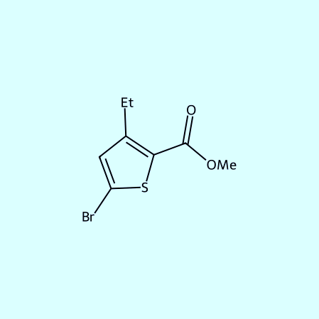 CCc1cc(Br)sc1C(=O)OC